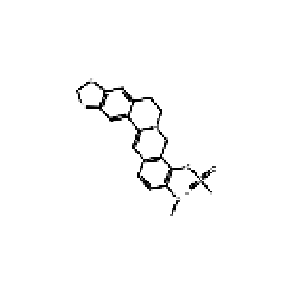 COc1ccc2c(c1OS(C)(=O)=O)CN1CCc3cc4c(cc3C1=C2)OCO4